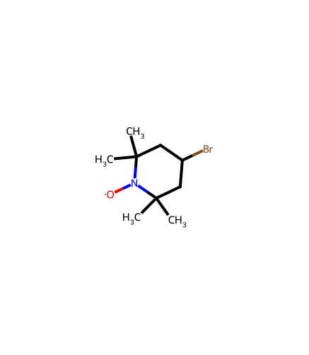 CC1(C)CC(Br)CC(C)(C)N1[O]